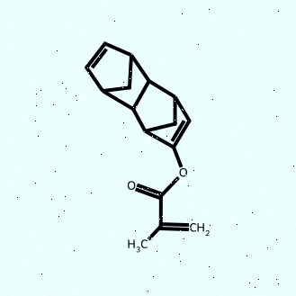 C=C(C)C(=O)OC1=CC2CC1C1C3C=CC(C3)C21